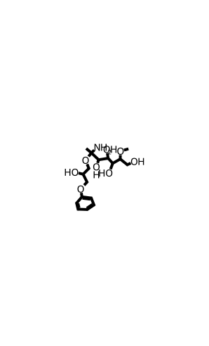 COC(CO)C(O)C(O)C(O)C(C)(N)OCC(O)COc1ccccc1